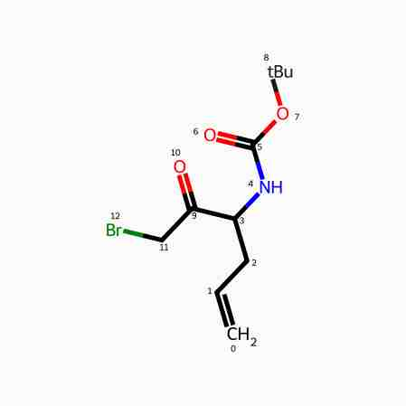 C=CCC(NC(=O)OC(C)(C)C)C(=O)CBr